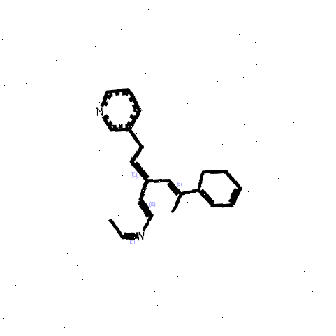 C\C=N/C=C/C(=C/Cc1cccnc1)/C=C(\C)C1=CC=CCC1